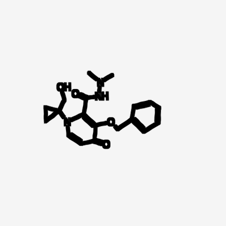 CN(C)NC(=O)c1c(OCc2ccccc2)c(=O)ccn1C1(CO)CC1